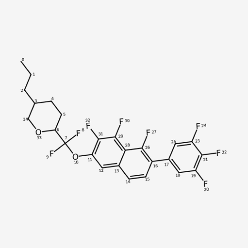 CCCC1CCC(C(F)(F)Oc2cc3ccc(-c4cc(F)c(F)c(F)c4)c(F)c3c(F)c2F)OC1